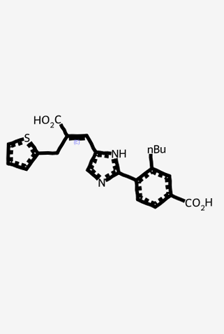 CCCCc1cc(C(=O)O)ccc1-c1ncc(/C=C(\Cc2cccs2)C(=O)O)[nH]1